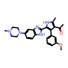 COc1cccc(-c2c(-c3nc4cc(N5CCN(C)CC5)ccc4[nH]3)[nH]c(C)c2C(C)=O)c1